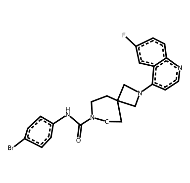 O=C(Nc1ccc(Br)cc1)N1CCC2(CC1)CN(c1ccnc3ccc(F)cc13)C2